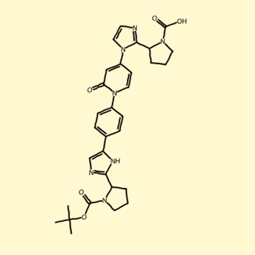 CC(C)(C)OC(=O)N1CCCC1c1ncc(-c2ccc(-n3ccc(-n4ccnc4C4CCCN4C(=O)O)cc3=O)cc2)[nH]1